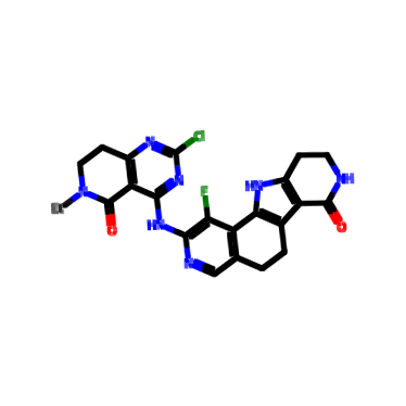 CCN1CCc2nc(Cl)nc(Nc3ncc4c(c3F)-c3[nH]c5c(c3CC4)C(=O)NCC5)c2C1=O